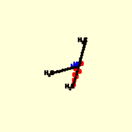 CCCCCCCCCCCCCCCCCC(=O)NCC(COC(=O)CCC(=O)OCCOCCOC)NC(=O)CCCCCCCCCCCCCCCCC